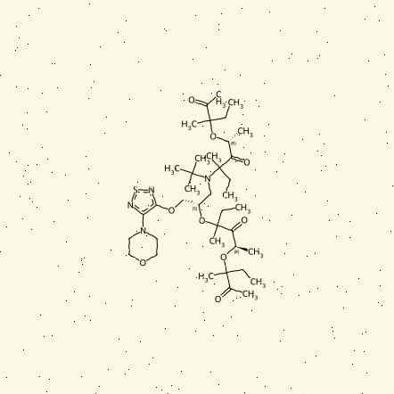 CCC(C)(O[C@H](C)C(=O)C(C)(CC)O[C@H](COc1nsnc1N1CCOCC1)CN(C(C)(C)C)C(C)(CC)C(=O)[C@@H](C)OC(C)(CC)C(C)=O)C(C)=O